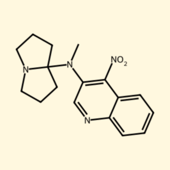 CN(c1cnc2ccccc2c1[N+](=O)[O-])C12CCCN1CCC2